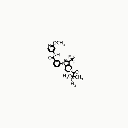 COc1cc(NC(=O)c2cccc(-n3nc(C(F)(F)F)c4c3CCN(C(=O)C(C)(C)C)C4)c2)ccn1